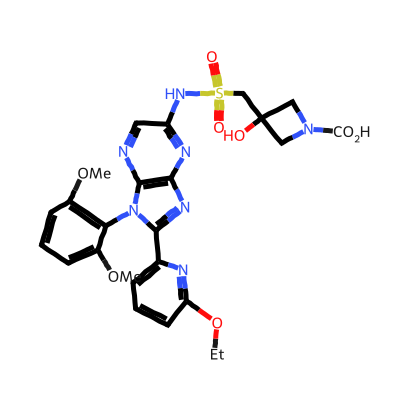 CCOc1cccc(-c2nc3nc(NS(=O)(=O)CC4(O)CN(C(=O)O)C4)cnc3n2-c2c(OC)cccc2OC)n1